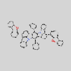 c1ccc(-c2c3c4ccc(-c5cccc6c5oc5ccccc56)c5c6ccccc6n(c3c(-c3ccccc3)c3c6ccc(-c7cccc8c7oc7ccccc78)c7c8ccccc8n(c23)c67)c45)cc1